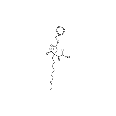 C=C(C(=O)O)C(CCCCCCOCC)(CC(=O)OCc1ccccc1)C(=O)O